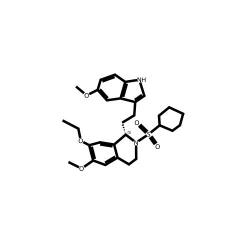 CCOc1cc2c(cc1OC)CCN(S(=O)(=O)C1CCCCC1)[C@H]2CCc1c[nH]c2ccc(OC)cc12